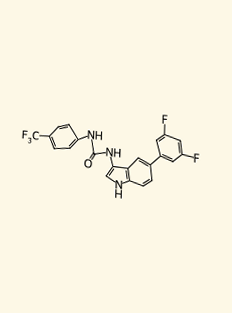 O=C(Nc1ccc(C(F)(F)F)cc1)Nc1c[nH]c2ccc(-c3cc(F)cc(F)c3)cc12